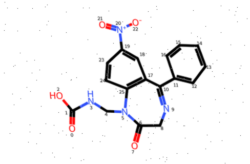 O=C(O)NCN1C(=O)CN=C(c2ccccc2)c2cc([N+](=O)[O-])ccc21